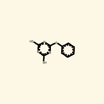 Sc1nc(S)nc(Sc2ccccc2)n1